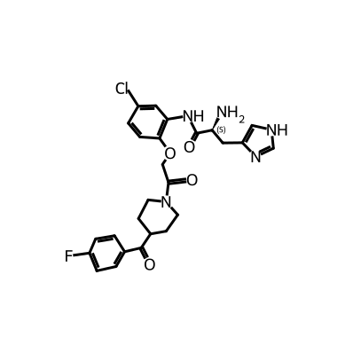 N[C@@H](Cc1c[nH]cn1)C(=O)Nc1cc(Cl)ccc1OCC(=O)N1CCC(C(=O)c2ccc(F)cc2)CC1